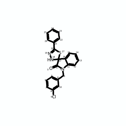 O=C1N(Cc2cccc(Cl)c2)c2ccccc2C12NN=C(c1ccccc1)S2